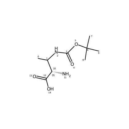 CC(NC(=O)OC(C)(C)C)[C@H](N)C(=O)O